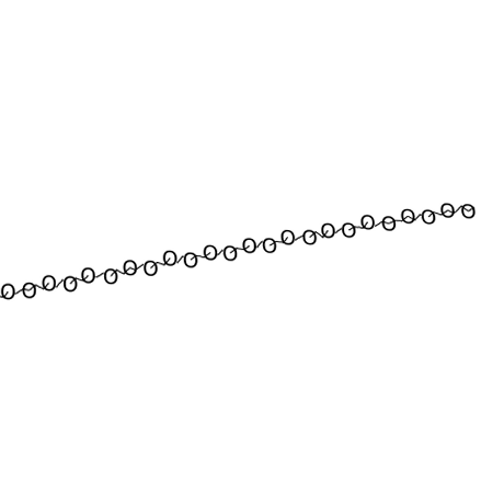 COCCOCCOCCOCCOCCOCCOCCOCCOCCOCCOCCOCCOCCOCCOCCOCCOCCOCCOCCOCCOCCOCCOCCOCCC(=O)C(C)(C)C